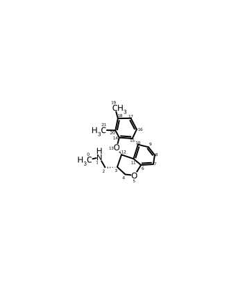 CNC[C@H]1COc2ccccc2[C@H]1Oc1cccc(C)c1C